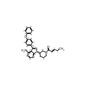 CC/C=C/C(=O)N1CCCC(n2nc(-c3ccc(Oc4ccccc4)cc3)c3c(N)ncnc32)C1